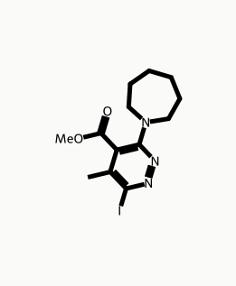 COC(=O)c1c(N2CCCCCC2)nnc(I)c1C